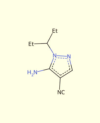 [C-]#[N+]c1cnn(C(CC)CC)c1N